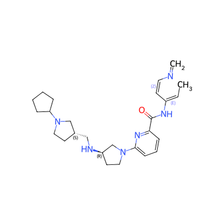 C=N/C=C\C(=C/C)NC(=O)c1cccc(N2CC[C@@H](NC[C@@H]3CCN(C4CCCC4)C3)C2)n1